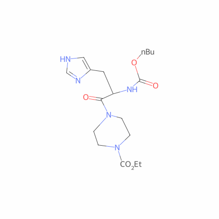 CCCCOC(=O)NC(Cc1c[nH]cn1)C(=O)N1CCN(C(=O)OCC)CC1